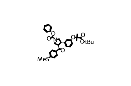 CSc1ccc(C(=O)[C@H]2CN(C(=O)Oc3ccccc3)C[C@@H]2c2cccc(OC(C)(C)C(=O)OC(C)(C)C)c2)cc1